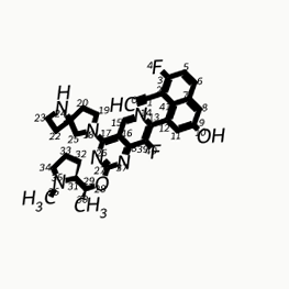 C#Cc1c(F)ccc2cc(O)cc(-c3ncc4c(N5CCC6(CCN6)C5)nc(O[C@@H](C)[C@@H]5CCCN5C)nc4c3F)c12